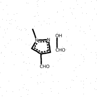 Cn1cc(C=O)cn1.O=CO